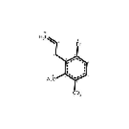 C=CCc1c(Br)ccc(C(=O)O)c1OC(C)=O